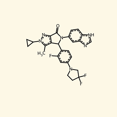 Cc1c2c(nn1C1CC1)C(=O)N(c1ccc3[nH]cnc3c1)C2c1ccc(N2CCC(F)(F)C2)cc1F